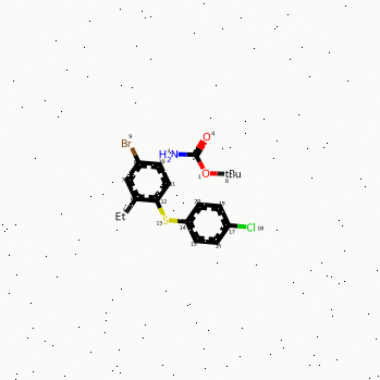 CC(C)(C)OC(N)=O.CCc1cc(Br)ccc1Sc1ccc(Cl)cc1